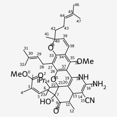 COC(=O)/C(C)=C\CC1(O)C(=O)C(C)C2C(C#N)=C(N)NC3=C2C1(C(C)C(C)C)Oc1c(CC=C(C)C)c2c(c(OC)c13)C=CC(C)(CCC=C(C)C)O2